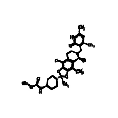 Cc1cc(C)c(CN2CCc3c(Cl)c4c(c(C)c3C2=O)OC(C)([C@H]2CC[C@H](NC(=O)OC(C)(C)C)CC2)O4)c(=O)[nH]1